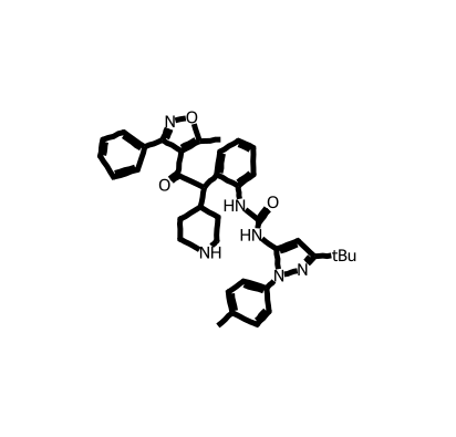 Cc1ccc(-n2nc(C(C)(C)C)cc2NC(=O)Nc2ccccc2C(C(=O)c2c(-c3ccccc3)noc2C)C2CCNCC2)cc1